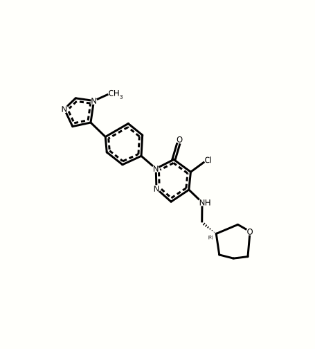 Cn1cncc1-c1ccc(-n2ncc(NC[C@H]3CCCOC3)c(Cl)c2=O)cc1